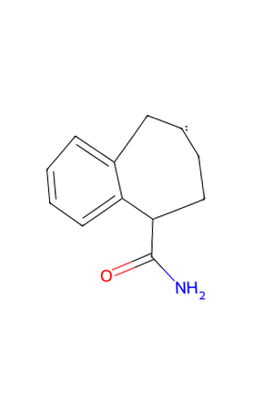 NC(=O)C1CC[C]Cc2ccccc21